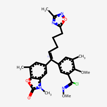 CON=C(Cl)c1cc(/C(=C\CCCc2nc(C)no2)c2cc(C)c3oc(=O)n(C)c3c2)cc(C)c1OC